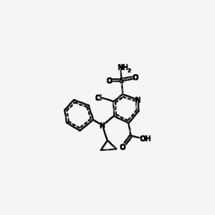 NS(=O)(=O)c1ncc(C(=O)O)c(N(c2ccccc2)C2CC2)c1Cl